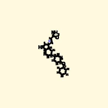 NC(=O)/C=C/c1c[nH]c2ncc(-c3ccc(Oc4ccccc4)nc3)cc12